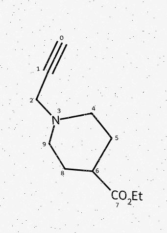 C#CCN1CCC(C(=O)OCC)CC1